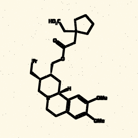 COc1cc2c(cc1OC)[C@H]1C[C@@H](COC(=O)CC3(CC(=O)O)CCCC3)[C@H](CC(C)C)CN1CC2